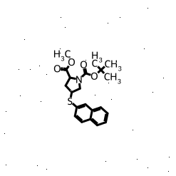 COC(=O)C1CC(Sc2ccc3ccccc3c2)CN1C(=O)OC(C)(C)C